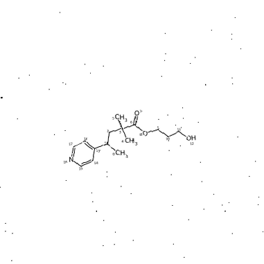 CC(CC(C)(C)C(=O)OCCCO)c1ccncc1